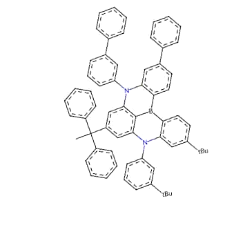 CC(C)(C)c1cccc(N2c3cc(C(C)(C)C)ccc3B3c4ccc(-c5ccccc5)cc4N(c4cccc(-c5ccccc5)c4)c4cc(C(C)(c5ccccc5)c5ccccc5)cc2c43)c1